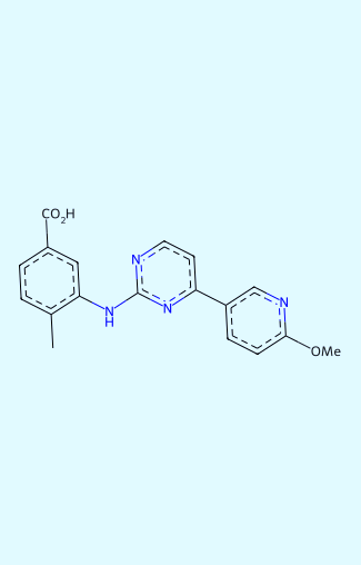 COc1ccc(-c2ccnc(Nc3cc(C(=O)O)ccc3C)n2)cn1